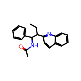 CCC(c1ccc2ccccc2n1)C(NC(C)=O)c1ccccc1